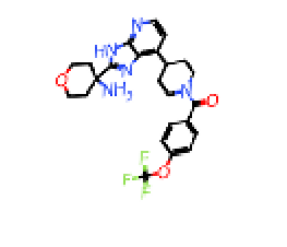 NC1(c2nc3c(C4CCN(C(=O)c5ccc(OC(F)(F)F)cc5)CC4)ccnc3[nH]2)CCOCC1